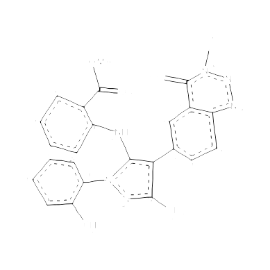 COC(=O)c1ccccc1Nc1c(-c2ccc3nnn(C)c(=O)c3c2)c(C)nn1-c1ccccc1C